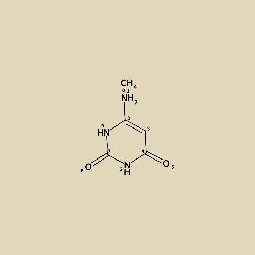 C.Nc1cc(=O)[nH]c(=O)[nH]1